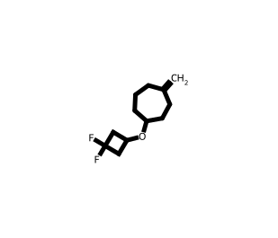 C=C1CCCC(OC2CC(F)(F)C2)CC1